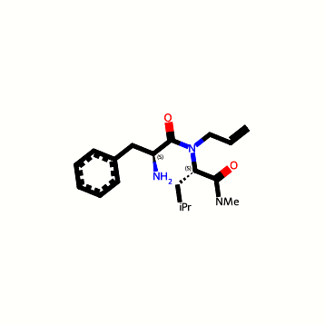 C=CCN(C(=O)[C@@H](N)Cc1ccccc1)[C@@H](CC(C)C)C(=O)NC